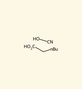 CCCCCC(=O)O.N#CO